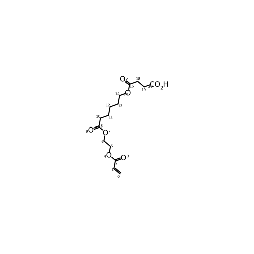 C=CC(=O)OCCOC(=O)CCCCCOC(=O)CCC(=O)O